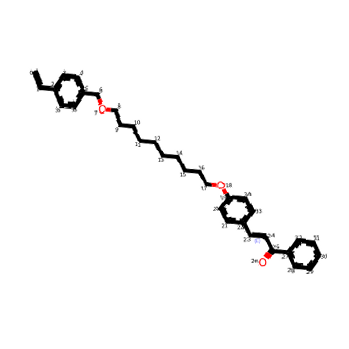 C=Cc1ccc(COCCCCCCCCCCOc2ccc(/C=C/C(=O)c3ccccc3)cc2)cc1